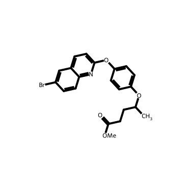 COC(=O)CCC(C)Oc1ccc(Oc2ccc3cc(Br)ccc3n2)cc1